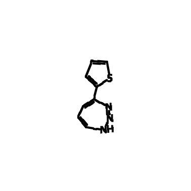 C1=CNN=NC(c2cccs2)=C1